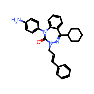 Nc1ccc(N2C(=O)N(CC=Cc3ccccc3)N=C(C3CCCCC3)c3ccccc32)cc1